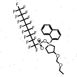 CCOCOC1CCS(OS(=O)(=O)C(F)(F)C(F)(F)C(F)(F)C(F)(F)C(F)(F)C(F)(F)C(F)(F)C(F)(F)F)(c2cccc3ccccc23)C1